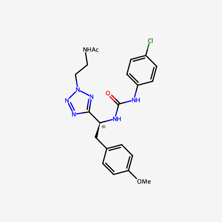 COc1ccc(C[C@H](NC(=O)Nc2ccc(Cl)cc2)c2nnn(CCNC(C)=O)n2)cc1